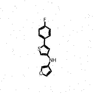 Fc1ccc(-c2cc(Nc3ccoc3)cs2)cc1